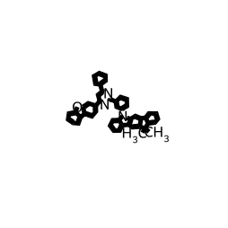 CC1(C)c2ccccc2-c2cc3c(cc21)c1ccccc1n3-c1cccc(-c2nc(-c3ccccc3)cc(-c3ccc4c(c3)oc3ccccc34)n2)c1